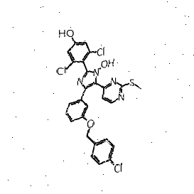 CSc1nccc(-c2c(-c3cccc(OCc4ccc(Cl)cc4)c3)nc(-c3c(Cl)cc(O)cc3Cl)n2O)n1